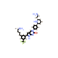 C[C@H](N)CCCc1cc(-c2cc3cn(-c4ccc([C@@H]5CCC[C@@H](CCN)N5)cc4)c(=O)nc3[nH]2)cc(C(F)(F)F)c1